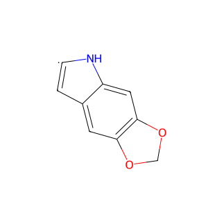 [c]1cc2cc3c(cc2[nH]1)OCO3